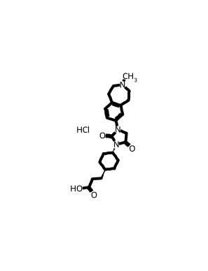 CN1CCc2ccc(N3CC(=O)N([C@H]4CC[C@H](CCC(=O)O)CC4)C3=O)cc2CC1.Cl